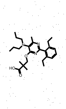 CCCN(CCC)c1c(C)nc(-c2c(CC)cccc2CC)nc1OCC(C)(C)C(=O)O